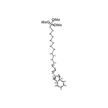 CO[Si](CCCCCCCCCCCCSSSc1nc2ccccc2s1)(OC)OC